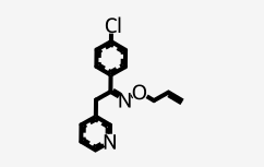 C=CCON=C(Cc1cccnc1)c1ccc(Cl)cc1